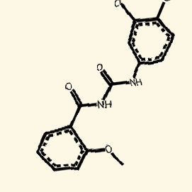 COc1ccccc1C(=O)NC(=O)Nc1ccc(Cl)c(Cl)c1